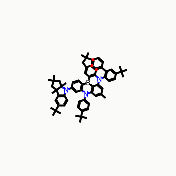 Cc1cc2c3c(c1)N(c1ccc(C(C)(C)C)cc1-c1ccccc1)c1cc4c(cc1B3c1ccc(N3c5ccc(C(C)(C)C)cc5C5(C)CC(C)(C)CC35C)cc1N2c1ccc(C(C)(C)C)cc1)CC(C)(C)C4